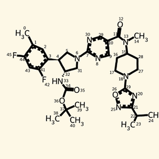 Cc1cc([C@H]2CN(c3ncc(C(=O)N(C)C4CCN(c5nc(C(C)C)no5)CC4)cn3)C[C@@H]2NC(=O)OC(C)(C)C)c(F)cc1F